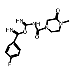 CN1CCN(C(=O)NC(=N)OC(=N)c2ccc(F)cc2)CC1=O